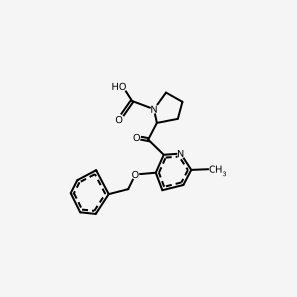 Cc1ccc(OCc2ccccc2)c(C(=O)C2CCCN2C(=O)O)n1